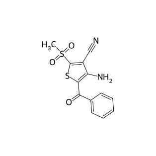 CS(=O)(=O)c1sc(C(=O)c2ccccc2)c(N)c1C#N